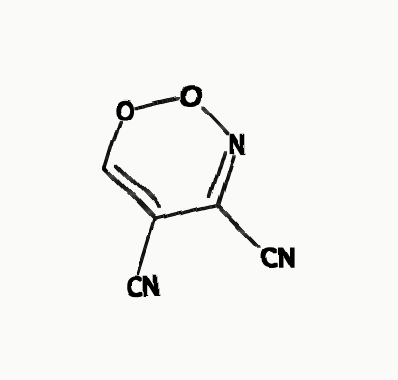 N#CC1=COON=C1C#N